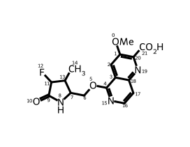 COc1cc2c(OCC3NC(=O)C(F)C3C)nccc2nc1C(=O)O